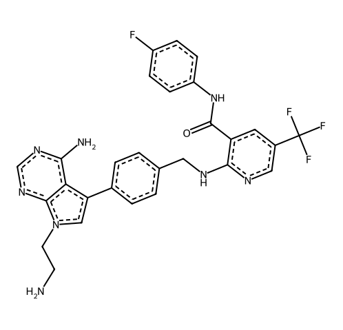 NCCn1cc(-c2ccc(CNc3ncc(C(F)(F)F)cc3C(=O)Nc3ccc(F)cc3)cc2)c2c(N)ncnc21